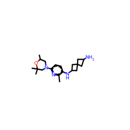 Cc1nc(N2CC(C)OC(C)(C)C2)ccc1NC1CC2(CC(N)C2)C1